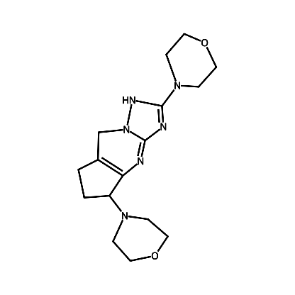 C1CN(C2=NC3=NC4=C(CCC4N4CCOCC4)CN3N2)CCO1